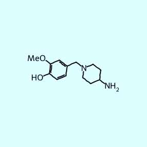 COc1cc(CN2CCC(N)CC2)ccc1O